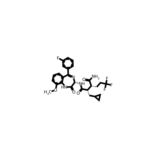 COc1cccc2c1NC(=O)[C@@H](NC(=O)[C@@H](CC1CC1)[C@@H](CCC(F)(F)F)C(N)=O)N=C2c1cccc(F)c1